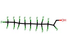 OCC(F)C(F)(F)C(F)(F)C(F)(F)C(F)(F)C(F)(F)C(F)(F)C(F)(F)C(F)(F)F